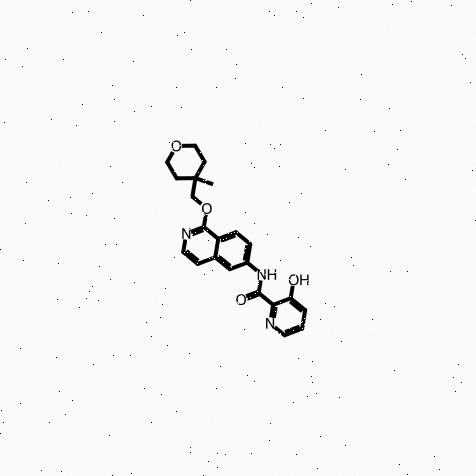 CC1(COc2nccc3cc(NC(=O)c4ncccc4O)ccc23)CCOCC1